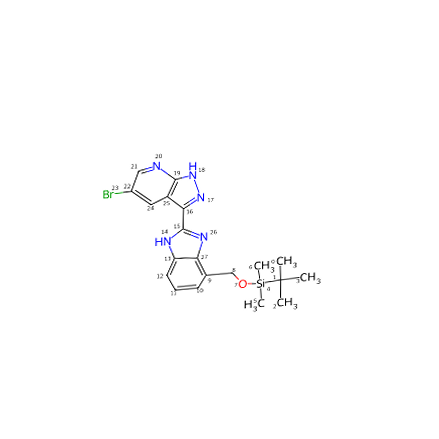 CC(C)(C)[Si](C)(C)OCc1cccc2[nH]c(-c3n[nH]c4ncc(Br)cc34)nc12